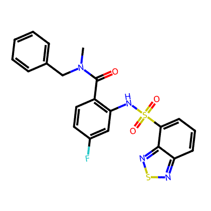 CN(Cc1ccccc1)C(=O)c1ccc(F)cc1NS(=O)(=O)c1cccc2nsnc12